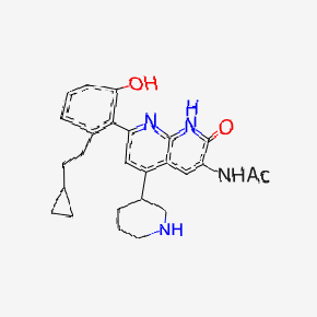 CC(=O)Nc1cc2c(C3CCCNC3)cc(-c3c(O)cccc3CCC3CC3)nc2[nH]c1=O